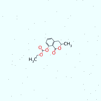 CCOC(=O)Oc1cccc2c1C(=O)OC(C)C2